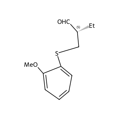 CC[C@@H](C=O)CSc1ccccc1OC